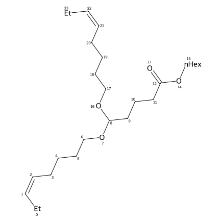 CC/C=C\CCCCOC(CCCC(=O)OCCCCCC)OCCCC/C=C\CC